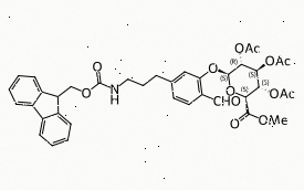 COC(=O)[C@H]1O[C@@H](Oc2cc(CCCNC(=O)OCC3c4ccccc4-c4ccccc43)ccc2C=O)[C@H](OC(C)=O)[C@@H](OC(C)=O)[C@@H]1OC(C)=O